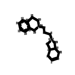 C1=CCC2CN(CCCN3CCc4ccccc4C3)CC2C1